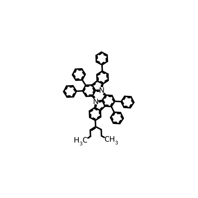 CC/C=C(\CCC)c1ccc2c(c1)c1c(-c3ccccc3)c(-c3ccccc3)cc3c1n2c1cc(-c2ccccc2)c(-c2ccccc2)c2c4cc(-c5ccccc5)ccc4n3c21